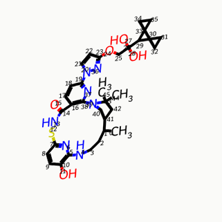 CC1CCNc2nc(ccc2O)SNC(=O)c2ccc(-n3ccc(OCC(O)(O)C4C5(CC5)C45CC5)n3)nc2N2CC1CC2(C)C